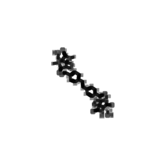 CN1C(=O)[C@@]2(CO)N(C)C(=O)[C@]3(C(=O)c4ccc(/C=C/c5ccc(C(=O)[C@]67SSC68C(=O)N[C@]8(CO)C(=O)N7C)cc5)cc4)SSC132